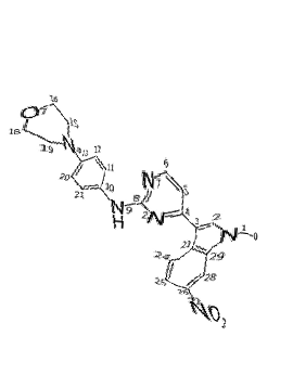 Cn1cc(-c2ccnc(Nc3ccc(N4CCOCC4)cc3)n2)c2ccc([N+](=O)[O-])cc21